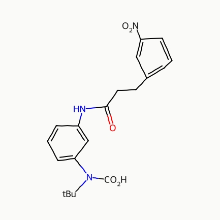 CC(C)(C)N(C(=O)O)c1cccc(NC(=O)CCc2cccc([N+](=O)[O-])c2)c1